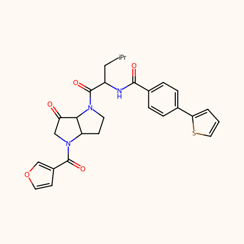 CC(C)CC(NC(=O)c1ccc(-c2cccs2)cc1)C(=O)N1CCC2C1C(=O)CN2C(=O)c1ccoc1